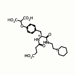 O=C(O)CCC(=O)N[C@@H](Cc1ccc(OC(C(=O)O)C(=O)O)cc1)C(=O)NCCN1CCCCC1